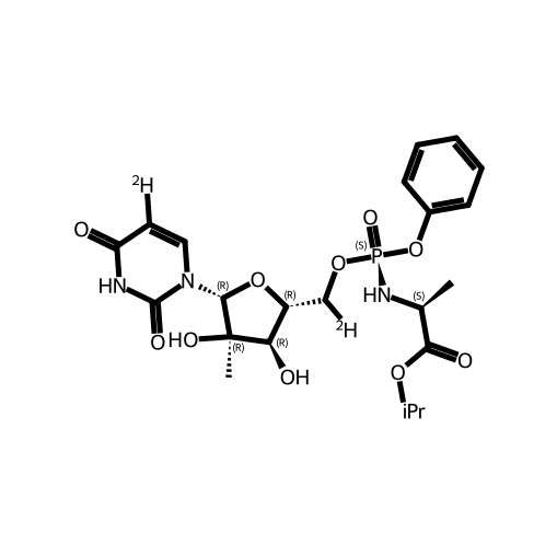 [2H]c1cn([C@@H]2O[C@H](C([2H])O[P@@](=O)(N[C@@H](C)C(=O)OC(C)C)Oc3ccccc3)[C@@H](O)[C@@]2(C)O)c(=O)[nH]c1=O